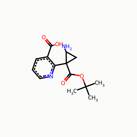 CC(C)(C)OC(=O)C1(c2ncccc2C(=O)O)CC1N